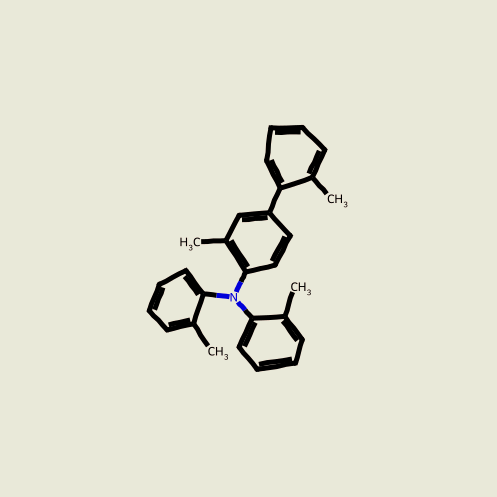 Cc1ccccc1-c1ccc(N(c2ccccc2C)c2ccccc2C)c(C)c1